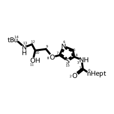 CCCCCCCC(=O)Nc1cnc(OCC(O)CNC(C)(C)C)s1